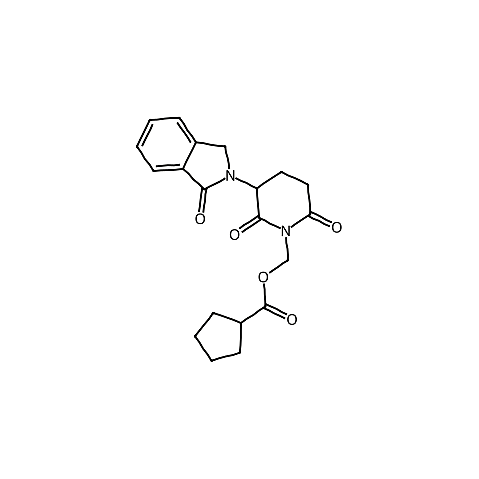 O=C(OCN1C(=O)CCC(N2Cc3ccccc3C2=O)C1=O)C1CCCC1